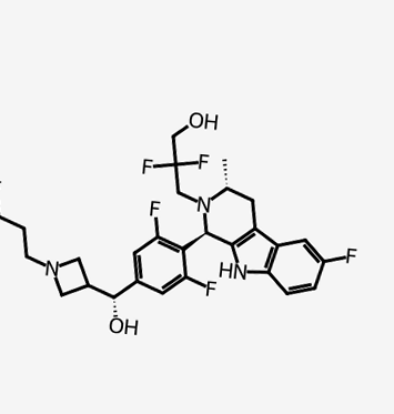 C[C@@H]1Cc2c([nH]c3ccc(F)cc23)[C@@H](c2c(F)cc([C@H](O)C3CN(CCCF)C3)cc2F)N1CC(F)(F)CO